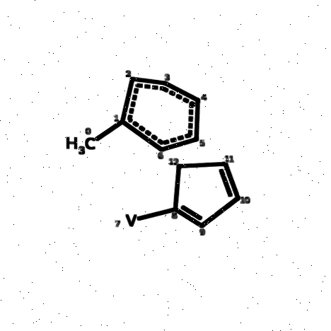 Cc1ccccc1.[V][C]1=CC=CC1